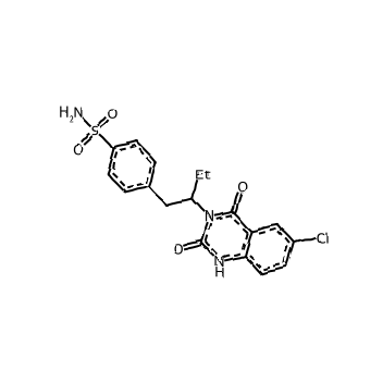 CCC(Cc1ccc(S(N)(=O)=O)cc1)n1c(=O)[nH]c2ccc(Cl)cc2c1=O